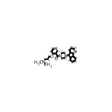 CN(C)CCCOc1ccncc1C(=O)N1CCN(C2c3ccccc3-c3ncccc32)CC1